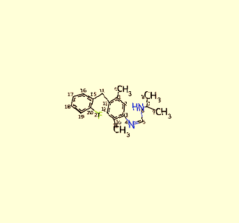 Cc1cc(/N=C\NC(C)C)c(C)cc1Cc1ccccc1F